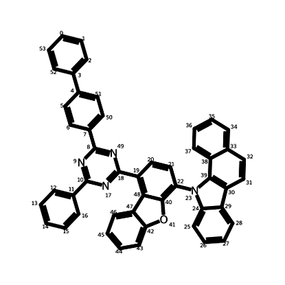 c1ccc(-c2ccc(-c3nc(-c4ccccc4)nc(-c4ccc(-n5c6ccccc6c6ccc7ccccc7c65)c5oc6ccccc6c45)n3)cc2)cc1